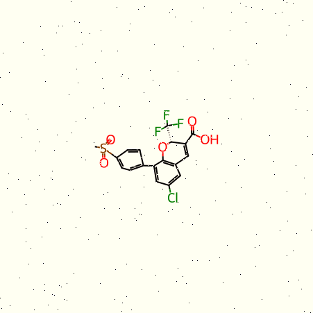 CS(=O)(=O)c1ccc(-c2cc(Cl)cc3c2O[C@H](C(F)(F)F)C(C(=O)O)=C3)cc1